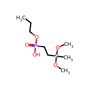 CCCOP(=O)(O)CC[Si](C)(OC)OC